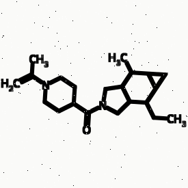 C=C(C)N1CCC(C(=O)N2CC3C(C)C4CC4C(CC)C3C2)CC1